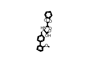 COc1ccccc1-c1ccc(C[C@H](NC(=O)C2Oc3ccccc3O2)C(=O)O)cc1